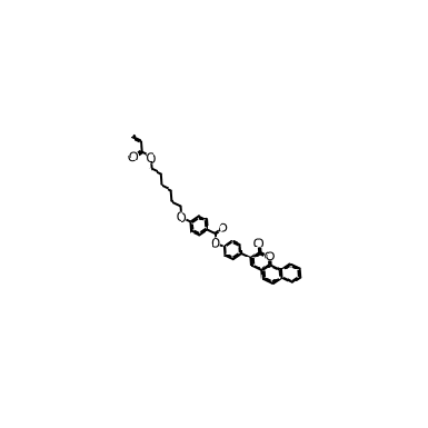 C=CC(=O)OCCCCCCOc1ccc(C(=O)Oc2ccc(-c3cc4ccc5ccccc5c4oc3=O)cc2)cc1